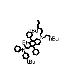 C=C/C=C(\C=C/CN(C/C=C\CCCC)c1ccc2c(C3C=CCCC3)c(/C=C(\C)N(C3=CC=CCC3)C3C=CC(C(C)(C)C)=CC3)c(CC)c(C3=CCCC=C3)c2c1)C(C)(C)C